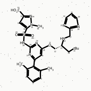 Cc1cccc(C)c1-c1cc(OC[C@@H](CC(C)(C)C)NCc2ncccn2)nc(NS(=O)(=O)c2cc(C(=O)O)nn2C)n1